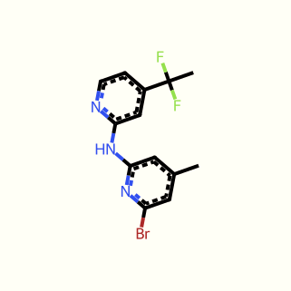 Cc1cc(Br)nc(Nc2cc(C(C)(F)F)ccn2)c1